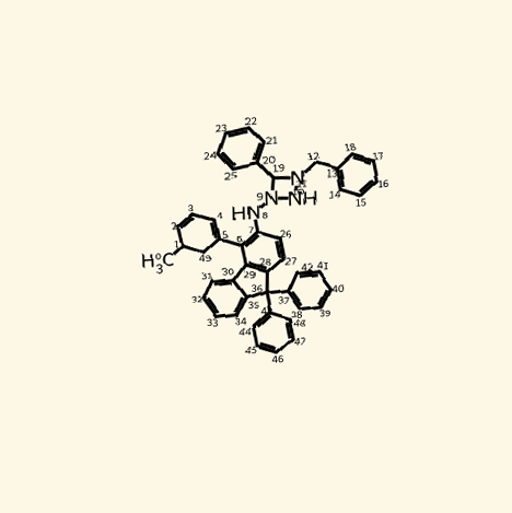 CC1C=CC=C(c2c(NN3NN(Cc4ccccc4)C3c3ccccc3)ccc3c2-c2ccccc2C3(c2ccccc2)c2ccccc2)C1